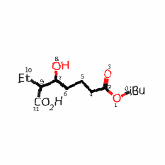 CCC(C)OC(=O)CCCC(O)C(CC)C(=O)O